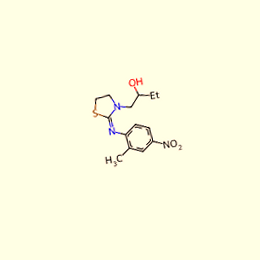 CCC(O)CN1CCSC1=Nc1ccc([N+](=O)[O-])cc1C